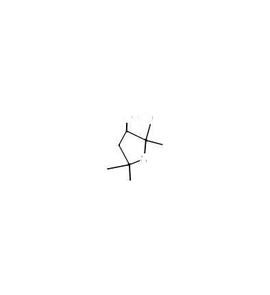 CCOC(=O)C1CC(C)(C)NC1(C)C